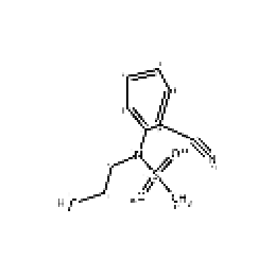 CCCN(c1ccccc1C#N)S(C)(=O)=O